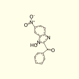 O=C(c1ccccc1)c1nc2ccc([N+](=O)[O-])cc2n1O